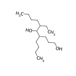 CCCCC(CC)C(O)C(CCCC)CCCO